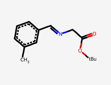 Cc1cccc(C=NCC(=O)OC(C)(C)C)c1